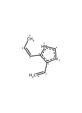 C=Cc1nc[nH]c1/C=C\C